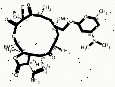 CC[C@@H]1OC(=O)[C@@](C)(F)C(=O)[C@H](C)C[C@](COC2C[C@@H](N(C)C)C[C@@H](C)O2)(OC)C[C@@H](C)C(=O)[C@H](C)[C@H]2[C@H](C(=N)N)C(=O)O[C@]21C